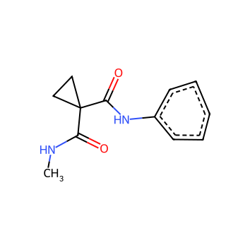 CNC(=O)C1(C(=O)Nc2ccccc2)CC1